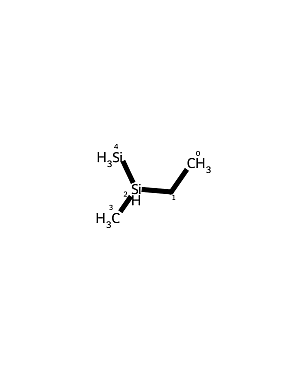 CC[SiH](C)[SiH3]